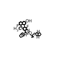 CCc1c(F)ccc2cc(O)cc(-c3c(Cl)cc4c(N5CC6CCC(C5)N6)nc(OCC5(CN6C[C@H]7CCC[C@H]7C6)CC5)nc4c3F)c12